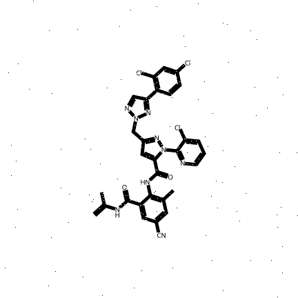 C=C(C)NC(=O)c1cc(C#N)cc(C)c1NC(=O)c1cc(Cn2ncc(-c3ccc(Cl)cc3Cl)n2)nn1-c1ncccc1Cl